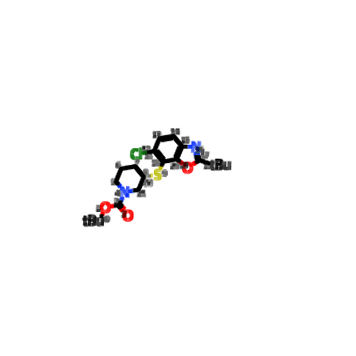 CC(C)(C)OC(=O)N1CCC[C@H](Sc2c(Cl)ccc3nc(C(C)(C)C)oc23)C1